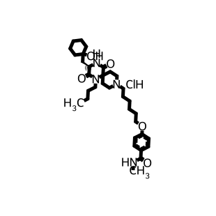 CCCCN1C(=O)[C@@H](CC2(O)CCCCC2)NC(=O)C12CCN(CCCCCCOc1ccc(C(=O)NC)cc1)CC2.Cl